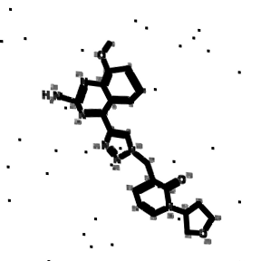 COc1cccc2c(-c3cn(Cc4cccn(C5CCOC5)c4=O)nn3)nc(N)nc12